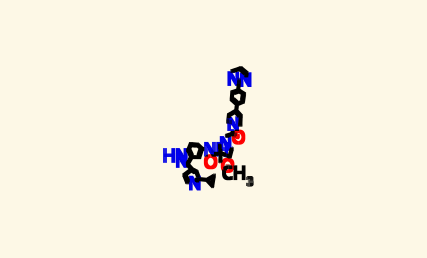 COCC1(C(=O)Nc2ccc3[nH]nc(-c4ccnc(C5CC5)c4)c3c2)CCN(CC(=O)N2CC=C(c3ccc(-c4ncccn4)cc3)CC2)C1